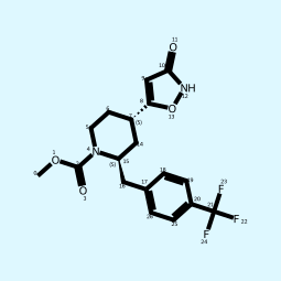 COC(=O)N1CC[C@H](c2cc(=O)[nH]o2)C[C@H]1Cc1ccc(C(F)(F)F)cc1